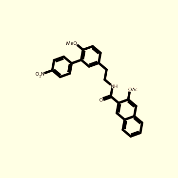 COc1ccc(CCNC(=O)c2cc3ccccc3cc2OC(C)=O)cc1-c1ccc([N+](=O)[O-])cc1